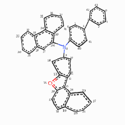 c1ccc(-c2ccc(N(c3ccc4c(c3)oc3ccc5ccccc5c34)c3cc4ccccc4c4ccccc34)cc2)cc1